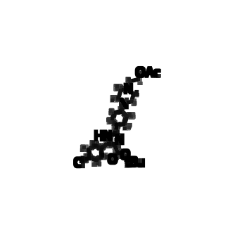 CC(=O)OCCN1CCN(c2ccc(-c3nc(C(=O)OC(C)(C)C)c(-c4ccc(Cl)cc4)[nH]3)cc2)CC1